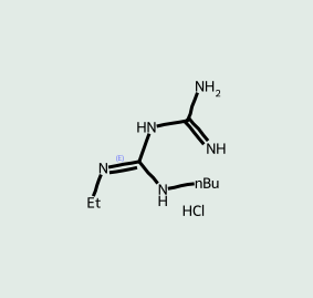 CCCCN/C(=N\CC)NC(=N)N.Cl